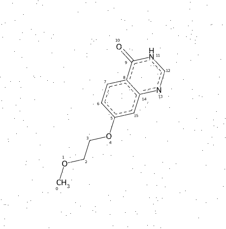 COCCOc1ccc2c(=O)[nH]cnc2c1